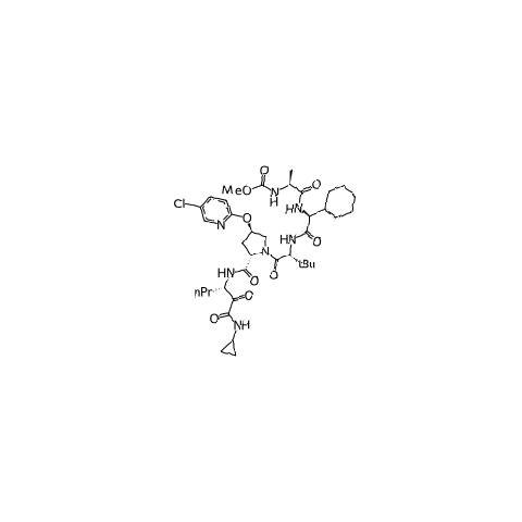 CCC[C@H](NC(=O)[C@@H]1C[C@@H](Oc2ccc(Cl)cn2)CN1C(=O)[C@@H](NC(=O)[C@@H](NC(=O)[C@H](C)NC(=O)OC)C1CCCCC1)C(C)(C)C)C(=O)C(=O)NC1CC1